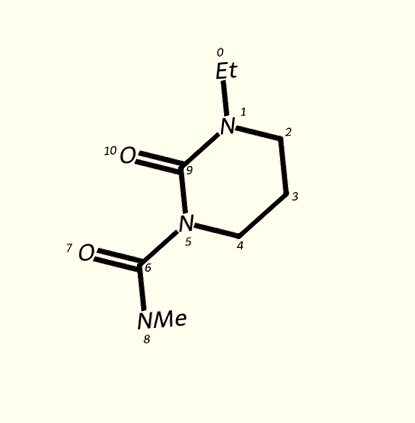 CCN1CCCN(C(=O)NC)C1=O